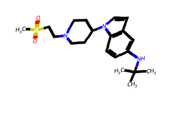 CC(C)(C)Nc1ccc2c(ccn2C2CCN(CCS(C)(=O)=O)CC2)c1